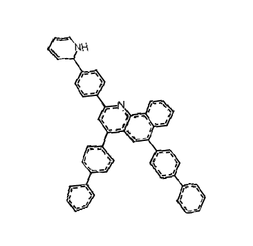 C1=CNC(c2ccc(-c3cc(-c4ccc(-c5ccccc5)cc4)c4cc(-c5ccc(-c6ccccc6)cc5)c5ccccc5c4n3)cc2)C=C1